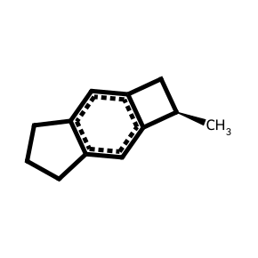 C[C@@H]1Cc2cc3c(cc21)CCC3